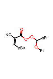 CCCCC=C(C#N)C(=O)OOC(CCC)OCC